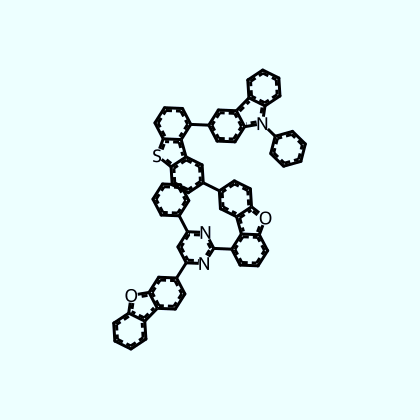 c1ccc(-c2cc(-c3ccc4c(c3)oc3ccccc34)nc(-c3cccc4oc5ccc(-c6ccc7sc8cccc(-c9ccc%10c(c9)c9ccccc9n%10-c9ccccc9)c8c7c6)cc5c34)n2)cc1